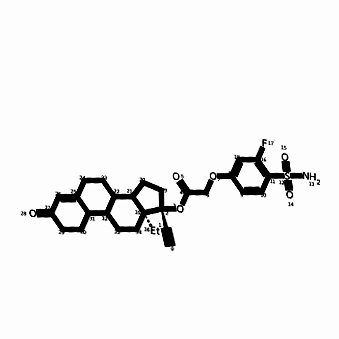 C#C[C@]1(OC(=O)COc2ccc(S(N)(=O)=O)c(F)c2)CCC2C3CCC4=CC(=O)CCC4C3CC[C@@]21CC